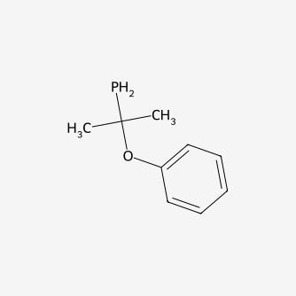 CC(C)(P)Oc1ccccc1